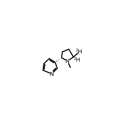 [2H]C1([2H])CC[C@@H](c2cccnc2)N1C